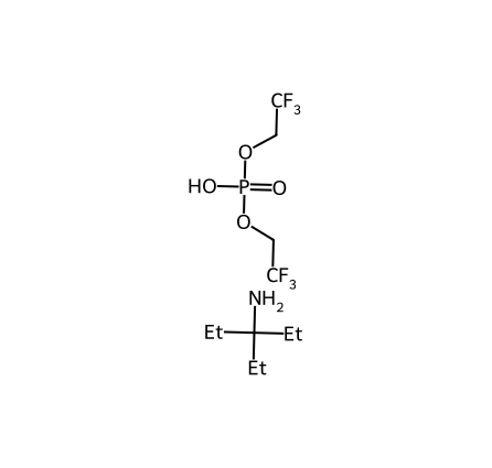 CCC(N)(CC)CC.O=P(O)(OCC(F)(F)F)OCC(F)(F)F